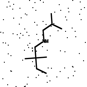 CCC(C)(C)CNCC(C)C